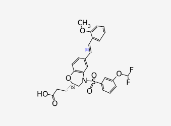 COc1ccccc1/C=C/c1ccc2c(c1)N(S(=O)(=O)c1cccc(OC(F)F)c1)C[C@H](CCC(=O)O)O2